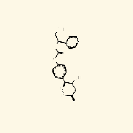 CCC(OC(=O)Nc1ccc(C2=NNC(=O)CC2C)cc1)c1ccccc1